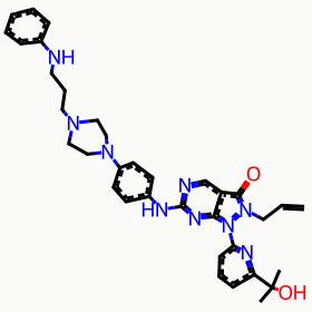 C=CCn1c(=O)c2cnc(Nc3ccc(N4CCN(CCCNc5ccccc5)CC4)cc3)nc2n1-c1cccc(C(C)(C)O)n1